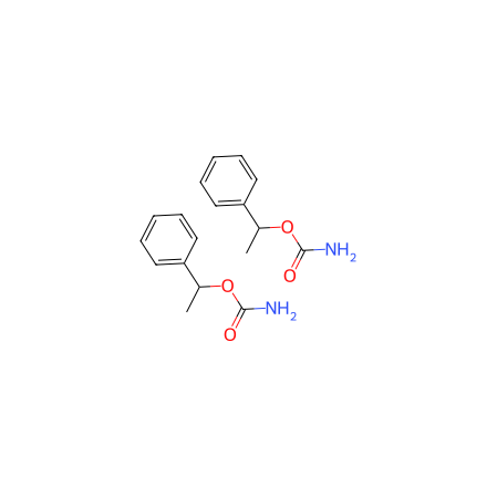 CC(OC(N)=O)c1ccccc1.CC(OC(N)=O)c1ccccc1